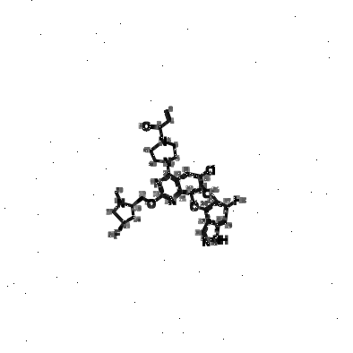 C=CC(=O)N1CCN(c2nc(OC[C@H]3C[C@@H](F)CN3C)nc3c(Oc4c(Cl)c(F)cc5[nH]ncc45)nc(Cl)cc23)CC1